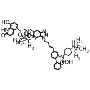 CC(C)(C)N[C@H]1CC[C@H](N(C(=O)O)c2cc(C=CCCn3nnc4cc(CNC[C@H](O[Si](C)(C)C(C)(C)C)c5ccc(O)c6[nH]c(=O)ccc56)ccc43)ccc2-c2ccccc2)CC1